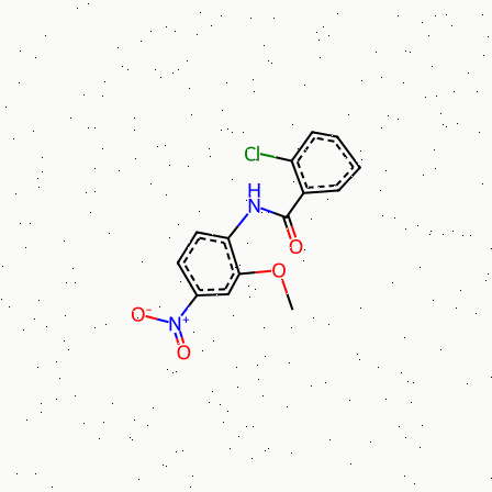 COc1cc([N+](=O)[O-])ccc1NC(=O)c1ccccc1Cl